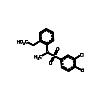 CN(c1ccccc1CC(=O)O)S(=O)(=O)c1ccc(Cl)c(Cl)c1